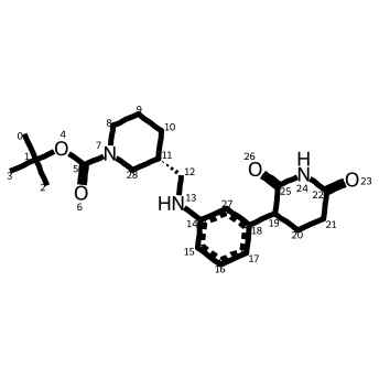 CC(C)(C)OC(=O)N1CCC[C@H](CNc2cccc(C3CCC(=O)NC3=O)c2)C1